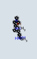 CCCc1c(Nc2ccccc2C2=CCCC(c3ccc(C(=N)NC)cc3)C2)ccc(-c2cccc3c2c2ccccc2n3C2CCCCC2)c1S